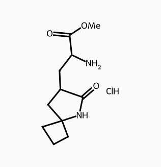 COC(=O)C(N)CC1CC2(CCC2)NC1=O.Cl